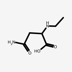 CCNC(CC(N)=O)C(=O)O